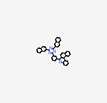 c1cc(-c2nc(-c3ccc4ccccc4c3)nc(-c3ccc4ccccc4c3)n2)cc(-c2nc3ccccc3c3c2ccc2ccccc23)c1